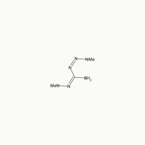 BC(/N=N\NC)=N/NC